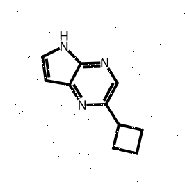 c1cc2nc(C3CCC3)cnc2[nH]1